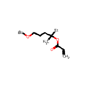 C=CC(=O)OC(C)(CC)CCCOC(C)CC